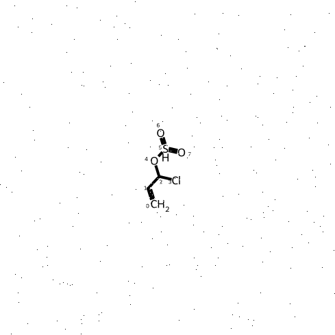 C=CC(Cl)O[SH](=O)=O